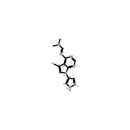 CN(C)/C=N/c1ncnc2c1c(I)cn2-c1cn[nH]c1